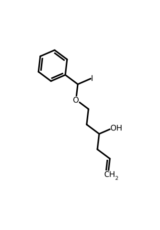 C=CCC(O)CCOC(I)c1ccccc1